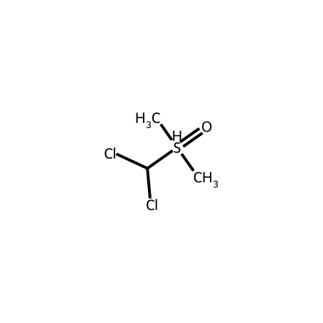 C[SH](C)(=O)C(Cl)Cl